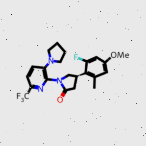 COc1cc(C)c([C@H]2CC(=O)N(c3nc(C(F)(F)F)ccc3N3CCCC3)C2)c(F)c1